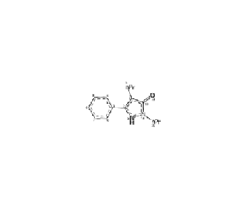 CCCc1c(-c2ccccc2)[nH]n(CCC)c1=O